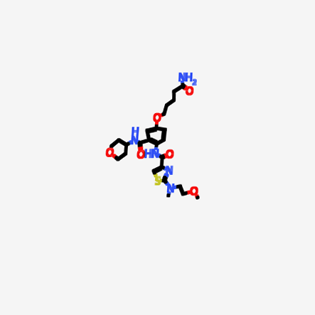 COCCN(C)c1nc(C(=O)Nc2ccc(OCCCCC(N)=O)cc2C(=O)NC2CCOCC2)cs1